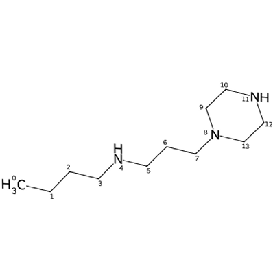 CCCCNCCCN1CCNCC1